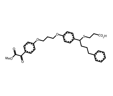 COC(=O)C(=O)c1ccc(OCCCOc2ccc(C(CCCc3ccccc3)SCCC(=O)O)cc2)cc1